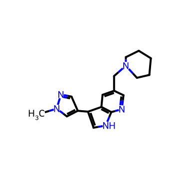 Cn1cc(-c2c[nH]c3ncc(CN4CCCCC4)cc23)cn1